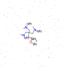 CCCN(C)CC(C[SiH2]OC(C)C)(CN(C)CCC)CN(C)CCC